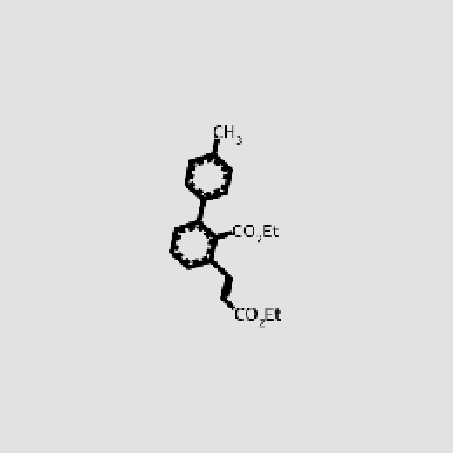 CCOC(=O)C=Cc1cccc(-c2ccc(C)cc2)c1C(=O)OCC